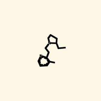 CCC1CCCN1CCc1ncccc1C